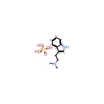 CN(C)CCc1c[nH]c2ccccc12.O=P(O)(O)O